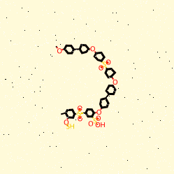 COc1ccc(-c2ccc(Oc3ccc(S(=O)(=O)c4ccc(Oc5ccc(-c6ccc(Oc7ccc(S(=O)(=O)c8ccc(C)c(OS)c8)cc7S(=O)(=O)O)cc6)cc5)cc4)cc3)cc2)cc1